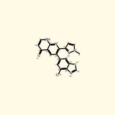 Cn1ccc(-c2nc3[nH]ccc(=O)c3cc2-c2cc(Cl)c3ncsc3c2)n1